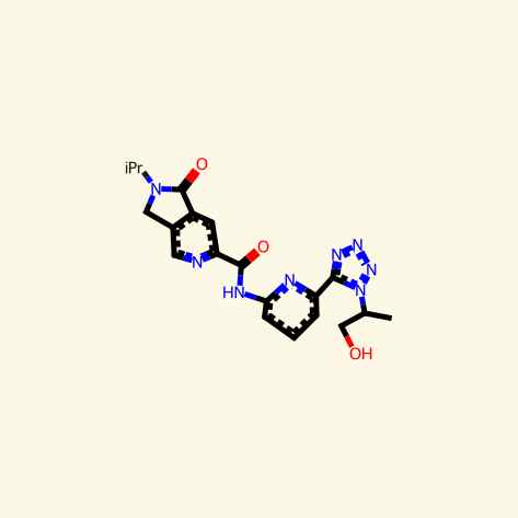 CC(C)N1Cc2cnc(C(=O)Nc3cccc(-c4nnnn4C(C)CO)n3)cc2C1=O